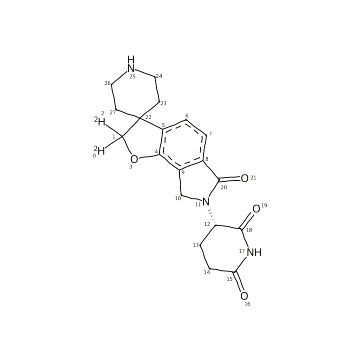 [2H]C1([2H])Oc2c(ccc3c2CN([C@H]2CCC(=O)NC2=O)C3=O)C12CCNCC2